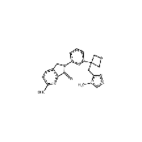 Cn1cnnc1CC1(c2cccc(N3Cc4ccc(C=O)nc4C3=O)c2)COC1